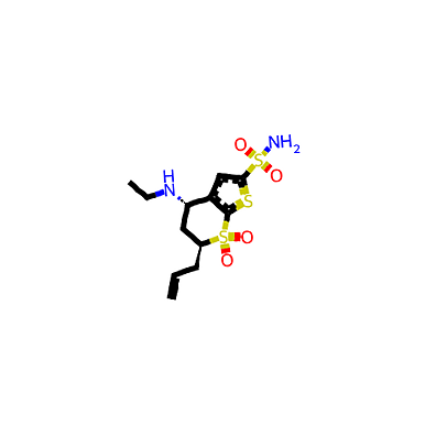 C=CC[C@H]1C[C@H](NCC)c2cc(S(N)(=O)=O)sc2S1(=O)=O